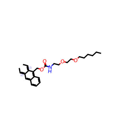 C/C=c1/cc2ccccc2c(COC(=O)NCCOCCOCCCCCC)/c1=C/C